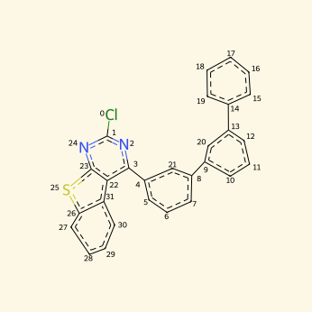 Clc1nc(-c2cccc(-c3cccc(-c4ccccc4)c3)c2)c2c(n1)sc1ccccc12